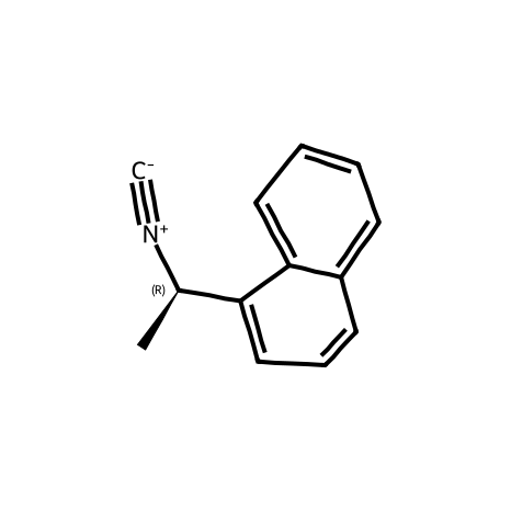 [C-]#[N+][C@H](C)c1cccc2ccccc12